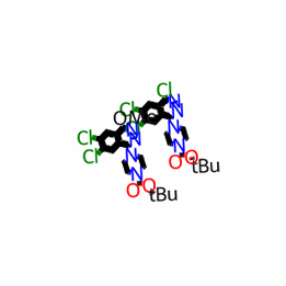 CC(C)(C)OC(=O)N1CCN(c2nnc(Cl)c3cc(Cl)c(Cl)cc23)CC1.COc1nnc(N2CCN(C(=O)OC(C)(C)C)CC2)c2cc(Cl)c(Cl)cc12